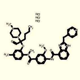 CCCCC(C=O)(Oc1cc(C)ccc1N(C)C(=O)c1ccc(NC(=O)c2cccc3[nH]c(Cc4ccncc4)nc23)c(OC)c1)N1CCN(C)CC1.Cl.Cl.Cl